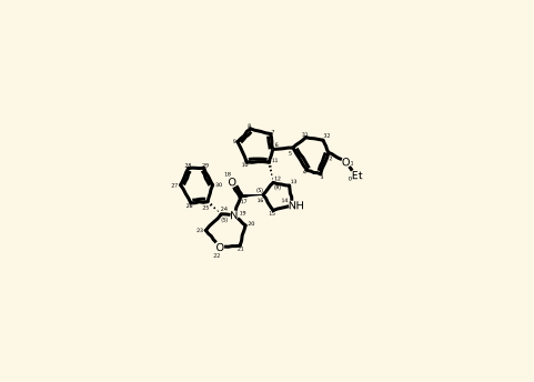 CCOC1=CC=C(c2ccccc2[C@@H]2CNC[C@H]2C(=O)N2CCOC[C@@H]2c2ccccc2)CC1